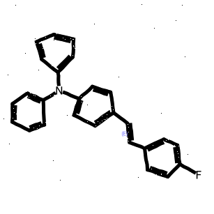 Fc1ccc(/C=C/c2ccc(N(c3ccccc3)c3ccccc3)cc2)cc1